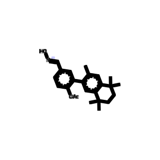 CC(=O)Oc1ccc(/C=N/O)cc1-c1cc2c(cc1C)C(C)(C)CCC2(C)C